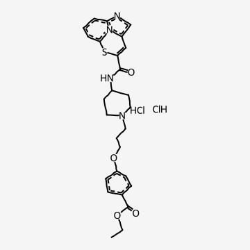 CCOC(=O)c1ccc(OCCCN2CCC(NC(=O)C3=Cc4cnc5cccc(n45)S3)CC2)cc1.Cl.Cl